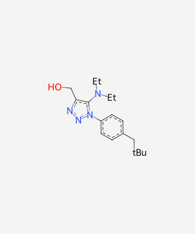 CCN(CC)c1c(CO)nnn1-c1ccc(CC(C)(C)C)cc1